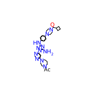 CC(=O)N1CCCN(c2cc(-n3nc(Nc4ccc(N5CCN(C(=O)C6CCC6)CC5)cc4)nc3N)ncn2)CC1